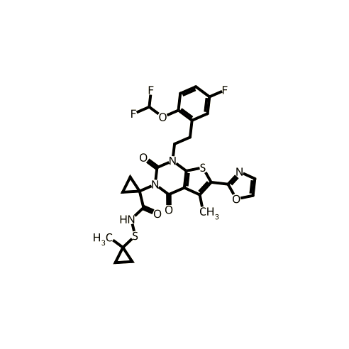 Cc1c(-c2ncco2)sc2c1c(=O)n(C1(C(=O)NSC3(C)CC3)CC1)c(=O)n2CCc1cc(F)ccc1OC(F)F